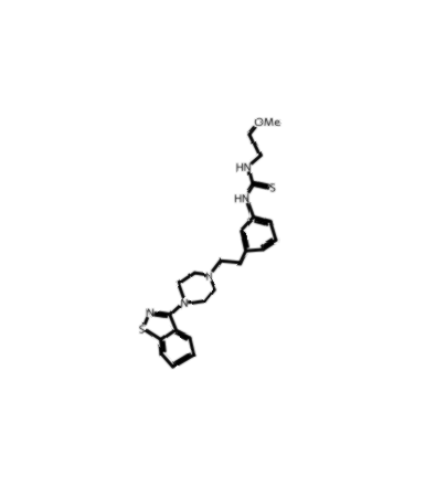 COCCNC(=S)Nc1cccc(CCN2CCN(c3nsc4ccccc34)CC2)c1